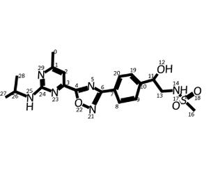 Cc1cc(-c2nc(-c3ccc(C(O)CNS(C)(=O)=O)cc3)no2)nc(NC(C)C)n1